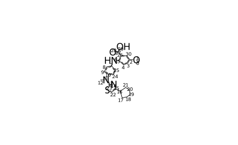 COc1ccc(Nc2ccc(N(C)c3nc(C4CCCCC4)cs3)cc2)c(C(=O)O)c1